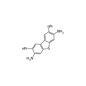 CCCc1cc2c(cc1N)sc1cc(N)c(CCC)cc12